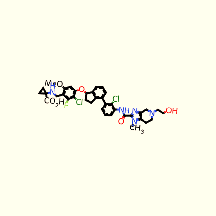 COc1cc(OC2CCc3c(-c4cccc(NC(=O)c5nc6c(n5C)CCN(CCO)C6)c4Cl)cccc32)c(Cl)c(F)c1CNC1(C(=O)O)CC1